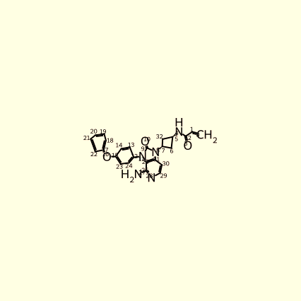 C=CC(=O)N[C@H]1C[C@@H](n2c(=O)n(-c3ccc(Oc4ccccc4)cc3)c3c(N)nccc32)C1